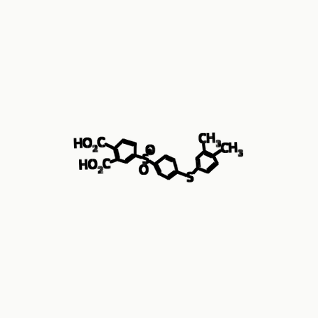 Cc1ccc(Sc2ccc(S(=O)(=O)c3ccc(C(=O)O)c(C(=O)O)c3)cc2)cc1C